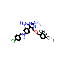 Cc1ccc(COCc2nc(N)nc(N)c2-c2ccc(NCc3ccc(Cl)cc3)cc2)c(C)c1